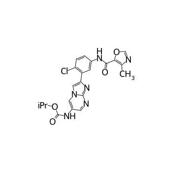 Cc1ncoc1C(=O)Nc1ccc(Cl)c(-c2cn3cc(NC(=O)OC(C)C)cnc3n2)c1